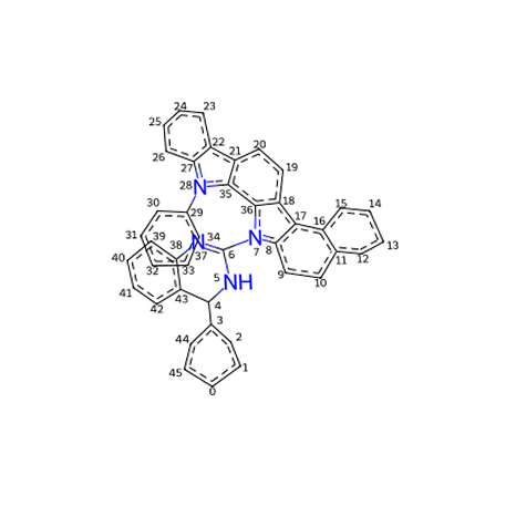 c1ccc(C2NC(n3c4ccc5ccccc5c4c4ccc5c6ccccc6n(-c6ccccc6)c5c43)=Nc3ccccc32)cc1